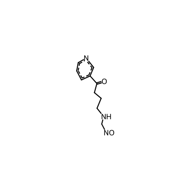 O=NCNCCCC(=O)c1cccnc1